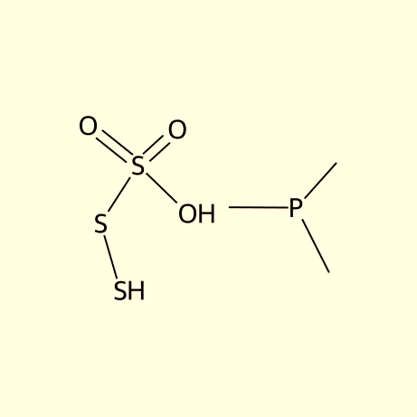 CP(C)C.O=S(=O)(O)SS